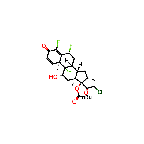 CCCCC(=O)O[C@]1(C(=O)CCl)[C@@H](C)C[C@H]2[C@@H]3C[C@H](F)C4=C(F)C(=O)C=C[C@]4(C)[C@@]3(F)[C@@H](O)C[C@@]21C